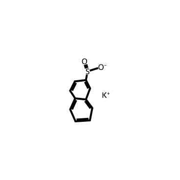 O=S([O-])c1ccc2ccccc2c1.[K+]